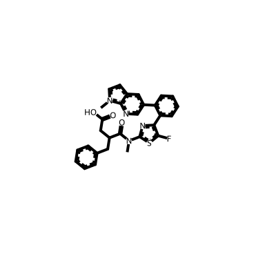 CN(C(=O)C(CC(=O)O)Cc1ccccc1)c1nc(-c2ccccc2-c2cnc3c(ccn3C)c2)c(F)s1